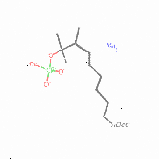 CCCCCCCCCCCCCCCCC(C)C(C)(C)O[Cl+3]([O-])([O-])[O-].N